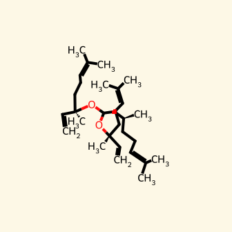 C=C[C@@](C)(CCC=C(C)C)OC(C[C@@H](C)CCC=C(C)C)O[C@@](C)(C=C)CCC=C(C)C